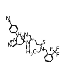 CCN(Cc1ccccc1C(F)(F)F)C(=S)CC[C@@H](CN)NC(=O)Cc1cncn1Cc1ccc(C#N)cc1